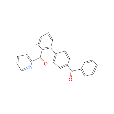 O=C(c1ccccc1)c1ccc(-c2ccc[c]c2C(=O)c2ccccn2)cc1